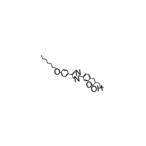 CCCCCCCOc1ccc(-c2cnc(-c3ccc(CC(CCC)C(=O)O)cc3)nc2)cc1